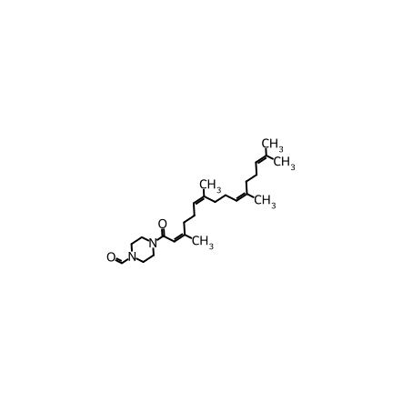 CC(C)=CCCC(C)=CCCC(C)=CCCC(C)=CC(=O)N1CCN(C=O)CC1